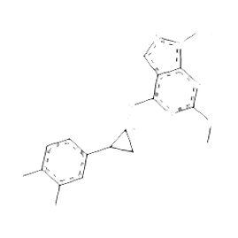 CCCSc1nc(N[C@@H]2CC2c2ccc(F)c(F)c2)c2cnn(C)c2n1